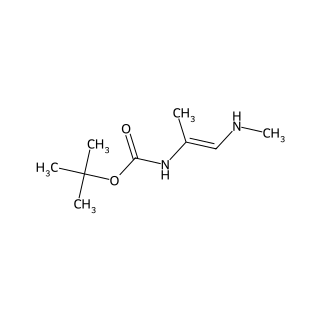 CN/C=C(\C)NC(=O)OC(C)(C)C